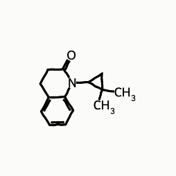 CC1(C)CC1N1C(=O)CCc2ccccc21